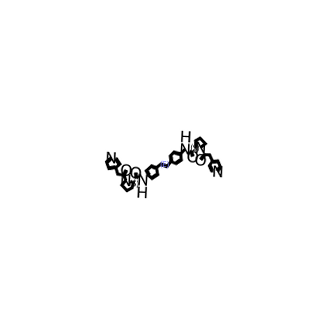 O=C(Nc1ccc(/C=C/c2ccc(NC(=O)[C@@H]3CCCN3C(=O)Cc3ccncc3)cc2)cc1)[C@@H]1CCCN1C(=O)Cc1ccncc1